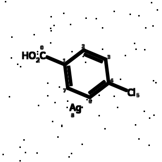 O=C(O)c1ccc(Cl)cc1.[Ag]